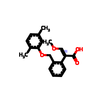 CO/C=C(/C(=O)O)c1ccccc1COc1cc(C)ccc1C